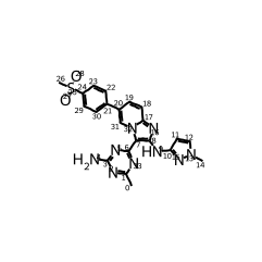 Cc1nc(N)nc(-c2c(Nc3ccn(C)n3)nc3ccc(-c4ccc(S(C)(=O)=O)cc4)cn23)n1